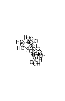 CC(=O)O[C@@]12CO[C@@H]1C[C@H](O)[C@@]1(C)C(=O)[C@H](O)C3=C(C)[C@@H](OC(=O)[C@H](OC(=O)CC(O)C(=O)O)[C@@H](NC(=O)OC(C)(C)C)c4ccccc4)C[C@](O)(C(OC(=O)c4ccccc4)[C@H]21)C3(C)C